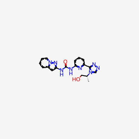 C[C@H](CO)n1cnnc1-c1cccc(NC(=O)Nc2cc3ccccn3n2)n1